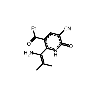 CCC(=O)c1cc(C#N)c(=O)[nH]c1C(N)=C(C)C